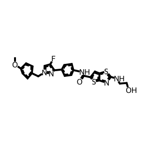 COc1ccc(Cn2cc(F)c(-c3ccc(NC(=O)c4cc5sc(NCCO)nc5s4)cc3)n2)cc1